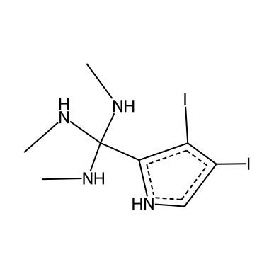 CNC(NC)(NC)c1[nH]cc(I)c1I